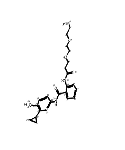 CNCCOCCOCCC(=O)Nc1ccccc1C(=O)Nc1ccc(C)c(C2CC2)n1